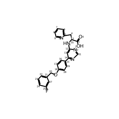 O=C(O)[C@H](Cc1ccccn1)Nc1cc(-c2ccc(OCc3cccc(F)c3)cc2)ncn1